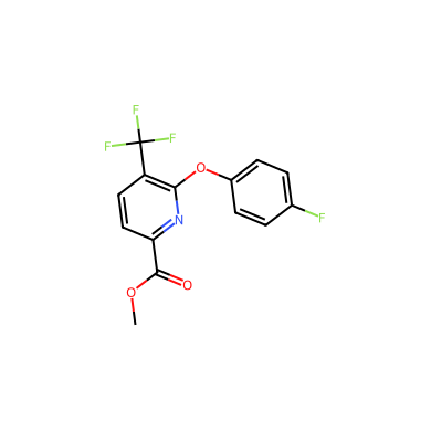 COC(=O)c1ccc(C(F)(F)F)c(Oc2ccc(F)cc2)n1